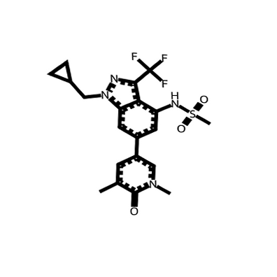 Cc1cc(-c2cc(NS(C)(=O)=O)c3c(C(F)(F)F)nn(CC4CC4)c3c2)cn(C)c1=O